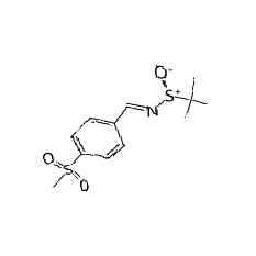 CC(C)(C)[S@+]([O-])/N=C/c1ccc(S(C)(=O)=O)cc1